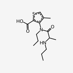 CCCNC(C)C(=O)N(CCC)c1c(C)csc1C(=O)O